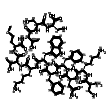 CSCC[C@H](NC(=O)[C@@H](NC(=O)[C@H](CCCCN)NC(=O)[C@H](Cc1c[nH]c2ccccc12)NC(=O)[C@H](Cc1ccccc1)NC(=O)[C@H](Cc1ccccc1)NC(=O)[C@H](CC(N)=O)NC(=O)[C@H](CCCCN)NC(=O)[C@@H](N)CS)C(C)O)C(=O)N[C@H](C(=O)N[C@@H](CO)C(=O)N[C@@H](CS)C(=O)O)C(C)O